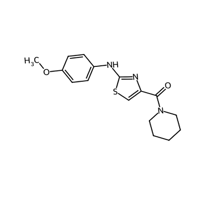 COc1ccc(Nc2nc(C(=O)N3CCCCC3)cs2)cc1